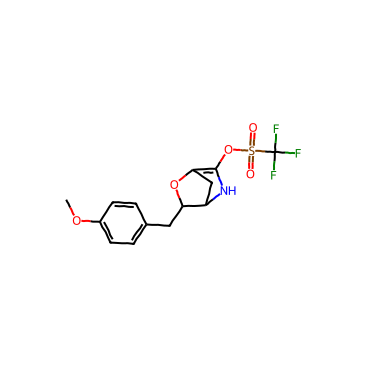 COc1ccc(CC2OC3=C(OS(=O)(=O)C(F)(F)F)NC2C3)cc1